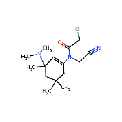 CN(C)C1(C)C=C(N(CC#N)C(=O)CCl)CC(C)(C)C1